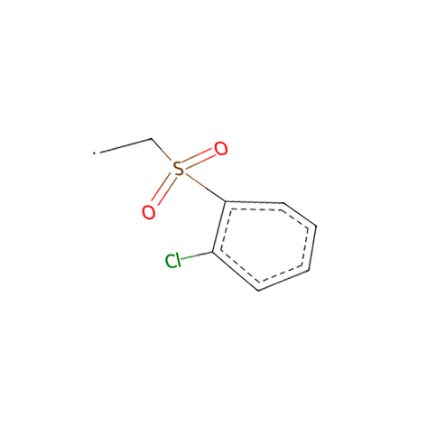 [CH2]CS(=O)(=O)c1ccccc1Cl